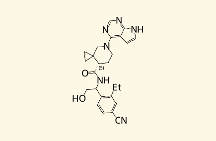 CCc1cc(C#N)ccc1C(CO)NC(=O)[C@H]1CCN(c2ncnc3[nH]ccc23)CC12CC2